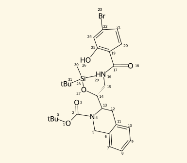 CC(C)(C)OC(=O)N1Cc2ccccc2CC1[C@@H](CNC(=O)c1ccc(Br)cc1O)O[Si](C)(C)C(C)(C)C